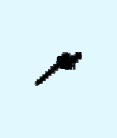 CCCCCCCCCCCCCCCCCC(=O)c1c(C(=O)O)n(Cc2ccc(C#N)cc2)c2ccccc12